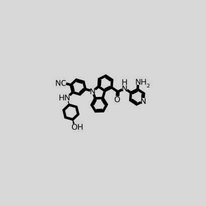 N#Cc1ccc(-n2c3ccccc3c3c(C(=O)Nc4ccncc4N)cccc32)cc1N[C@H]1CC[C@H](O)CC1